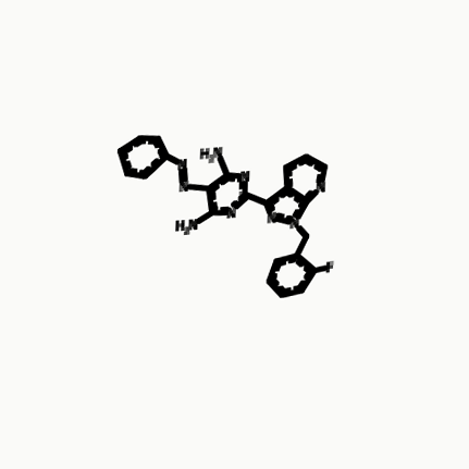 Nc1nc(-c2nn(Cc3ccccc3F)c3ncccc23)nc(N)c1N=Nc1ccccc1